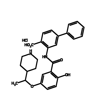 CC(Oc1ccc(O)c(C(=O)Nc2cc(-c3ccccc3)ccc2C(=O)O)c1)C1CCNCC1.Cl